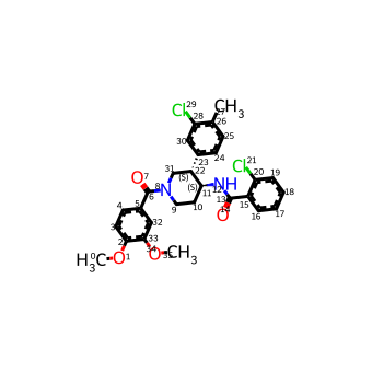 COc1ccc(C(=O)N2CC[C@H](NC(=O)c3ccccc3Cl)[C@@H](c3ccc(C)c(Cl)c3)C2)cc1OC